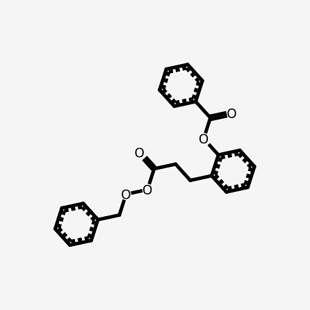 O=C(CCc1ccccc1OC(=O)c1ccccc1)OOCc1ccccc1